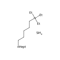 CCCCCCCCCCCC[N+](CC)(CC)CC.[SiH4]